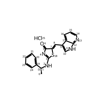 C[C@H](NC1=NC(=O)C(=Cc2c[nH]c3ncccc23)S1)c1ccccc1.Cl